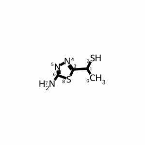 CC(S)c1nnc(N)s1